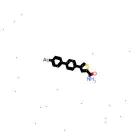 CC(=O)c1ccc(-c2ccc(-c3csc(C(N)=O)c3)cc2)cc1